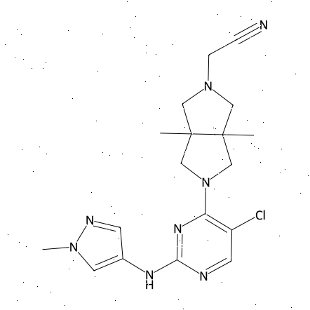 Cn1cc(Nc2ncc(Cl)c(N3CC4(C)CN(CC#N)CC4(C)C3)n2)cn1